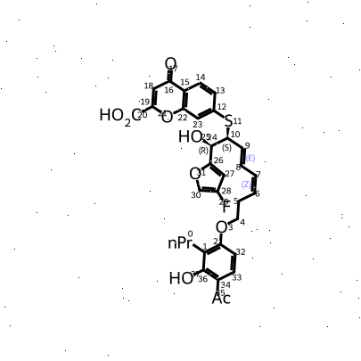 CCCc1c(OCC/C=C\C=C\[C@H](Sc2ccc3c(=O)cc(C(=O)O)oc3c2)[C@H](O)c2cc(F)co2)ccc(C(C)=O)c1O